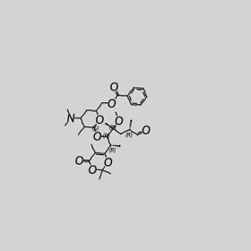 CO[C@](C)(C[C@@H](C)C=O)[C@H](O[C@@H]1OC(COC(=O)c2ccccc2)CC(N(C)C)C1C)[C@@H](C)C1=C(C)C(=O)OC(C)(C)O1